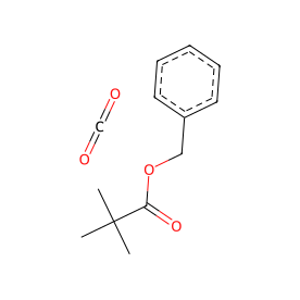 CC(C)(C)C(=O)OCc1ccccc1.O=C=O